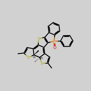 CC1=CC2=c3sc4c(c3=C3C=C(C)S[C@@]3(C)[C@]2(C)S1)P(=O)(c1ccccc1)c1ccccc1-4